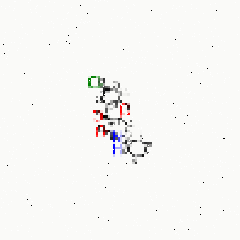 O=C1CC(c2ccccc2)NC(=O)C1C(=O)c1cccc(Cl)c1